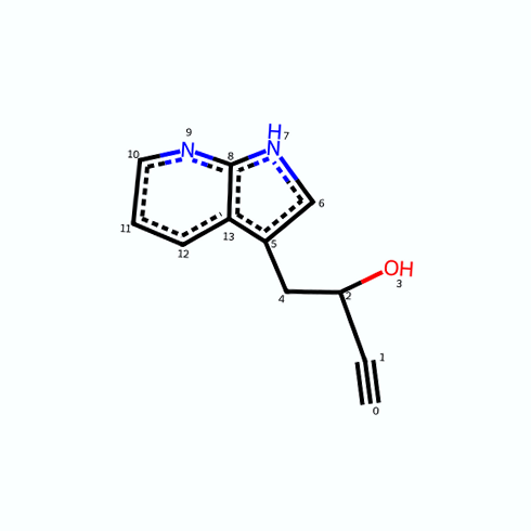 C#CC(O)Cc1c[nH]c2ncccc12